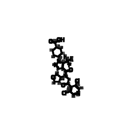 O=C(CN(C(=O)c1cnn([C@H]2CC[C@H](C(=O)O)CC2)c1C(F)(F)F)C1CCOC1)c1c(Cl)cncc1Cl